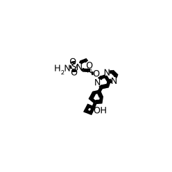 NS(=O)(=O)N1CCO[C@H](COc2nc(-c3ccc(C4(O)CCC4)cc3)cc3nccnc23)C1